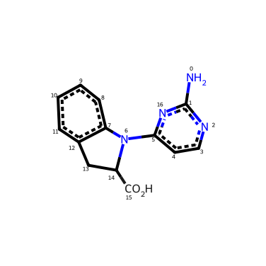 Nc1nccc(N2c3ccccc3CC2C(=O)O)n1